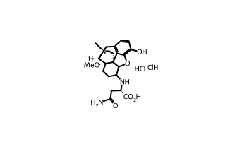 CO[C@@]12CCC(N[C@@H](CC(N)=O)C(=O)O)C3Oc4c(O)ccc5c4[C@@]31CCN(C)[C@@H]2C5.Cl.Cl